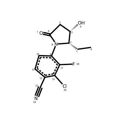 CC[C@H]1[C@@H](O)CC(=O)N1c1ccc(C#N)c(Cl)c1F